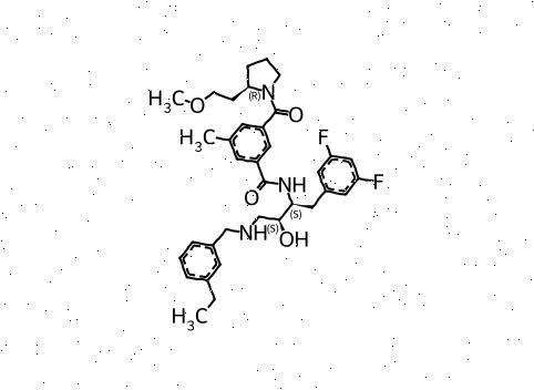 CCc1cccc(CNC[C@H](O)[C@H](Cc2cc(F)cc(F)c2)NC(=O)c2cc(C)cc(C(=O)N3CCC[C@@H]3CCOC)c2)c1